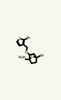 CC(C)C12CCC(C)(O1)C(OCc1ccsc1Br)C2.[NaH]